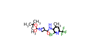 Cc1cc(C(F)(F)F)nc(Br)c1NC(=O)C1CN(C(=O)OC(C)(C)C)C1